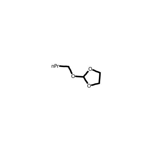 CCCCOC1OCCO1